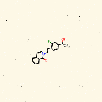 CC(O)c1ccc(CCn2ccc3ccccc3c2=O)c(F)c1